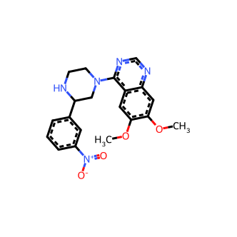 COc1cc2ncnc(N3CCNC(c4cccc([N+](=O)[O-])c4)C3)c2cc1OC